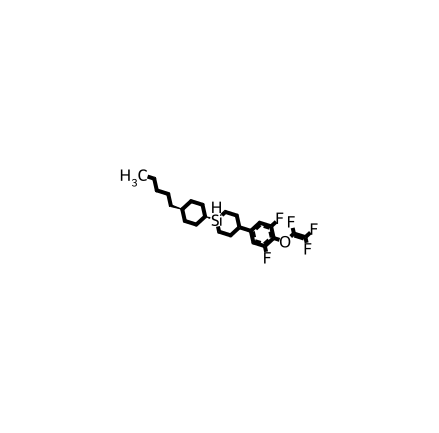 CCCCC[C@H]1CC[C@H]([SiH]2CCC(c3cc(F)c(OC(F)=C(F)F)c(F)c3)CC2)CC1